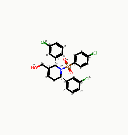 O=S(=O)(c1ccc(Cl)cc1)N1[C@@H](c2cccc(Cl)c2)C(CO)=CC[C@H]1c1cccc(Cl)c1